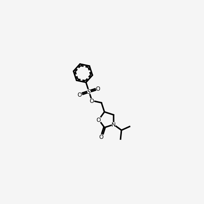 CC(C)N1CC(COS(=O)(=O)c2ccccc2)OC1=O